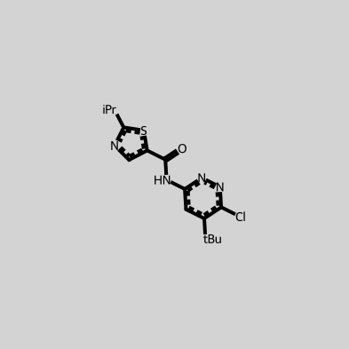 CC(C)c1ncc(C(=O)Nc2cc(C(C)(C)C)c(Cl)nn2)s1